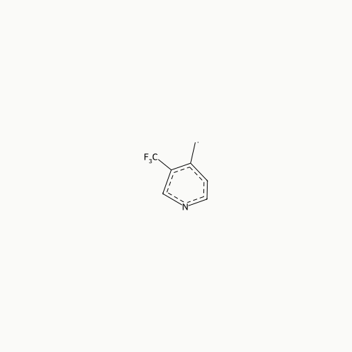 [CH2]c1ccncc1C(F)(F)F